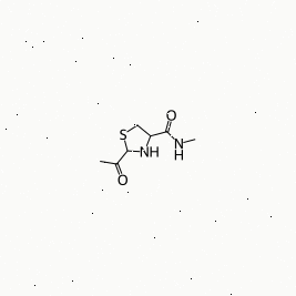 CNC(=O)C1CSC(C(C)=O)N1